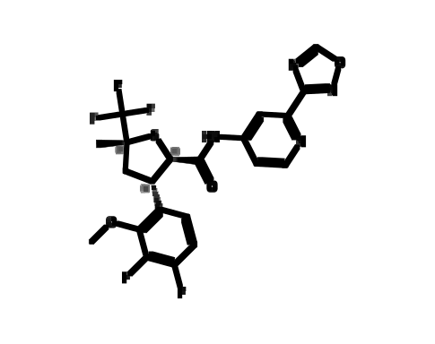 COc1c([C@@H]2C[C@](C)(C(F)(F)F)S[C@H]2C(=O)Nc2ccnc(-c3ncon3)c2)ccc(F)c1F